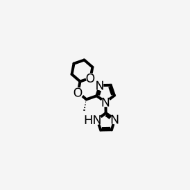 C[C@H](OC1CCCCO1)c1nccn1-c1ncc[nH]1